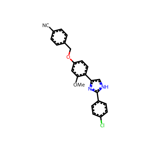 COc1cc(OCc2ccc(C#N)cc2)ccc1-c1c[nH]c(-c2ccc(Cl)cc2)n1